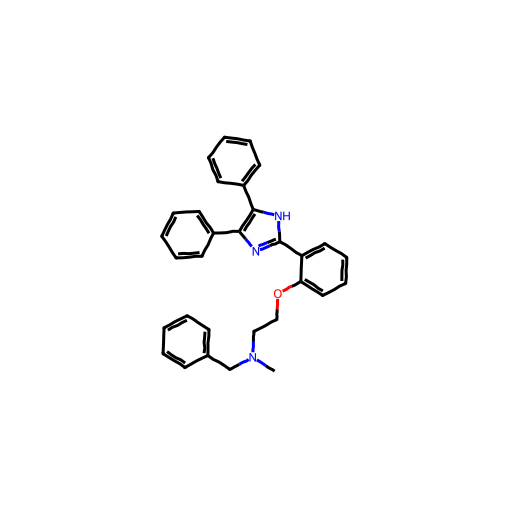 CN(CCOc1ccccc1-c1nc(-c2ccccc2)c(-c2ccccc2)[nH]1)Cc1ccccc1